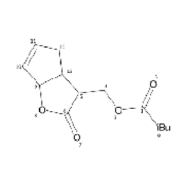 CCC(C)C(=O)OCC1C(=O)OC2C=CCC21